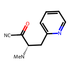 CN[C@@H](Cc1ccccn1)C(=O)C#N